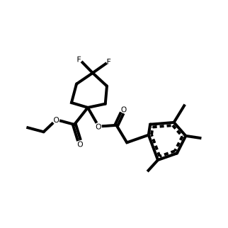 CCOC(=O)C1(OC(=O)Cc2cc(C)c(C)cc2C)CCC(F)(F)CC1